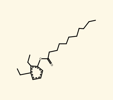 CCCCCCCCCCC(=O)Oc1cccc(CC)c1CC